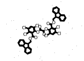 O=C(Oc1c(Cl)cc(Cl)c(Cl)c1C(=O)OCC1c2ccccc2-c2ccccc21)C(=O)Oc1c(Cl)cc(Cl)c(Cl)c1C(=O)OCC1c2ccccc2-c2ccccc21